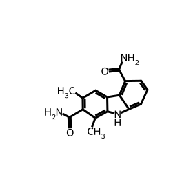 Cc1cc2c([nH]c3cccc(C(N)=O)c32)c(C)c1C(N)=O